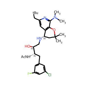 CC(=O)N[C@@H](Cc1cc(F)cc(Cl)c1)[C@@H](O)CN[C@H]1CC(C)(C)Oc2c1cc(CC(C)(C)C)nc2N(C)C